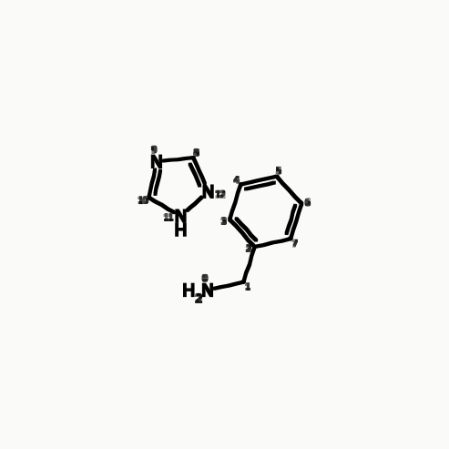 NCc1ccccc1.c1nc[nH]n1